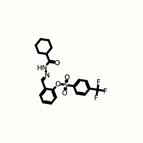 O=C(N/N=C/c1ccccc1OS(=O)(=O)c1ccc(C(F)(F)F)cc1)C1CCCCC1